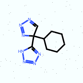 C1=NN=NC1([C]1CCCCC1)c1nnn[nH]1